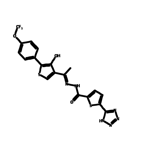 C/C(=N\NC(=O)c1ccc(-c2nnn[nH]2)s1)c1csc(-c2ccc(OC(F)(F)F)cc2)c1O